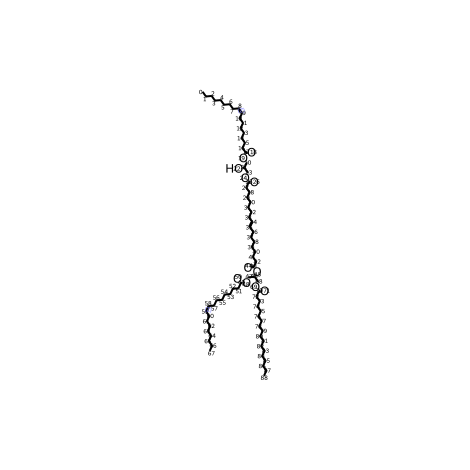 CCCCCCCC/C=C\CCCCCCCC(=O)OCC(O)COC(=O)CCCCCCCC=CCCCCCCCC(=O)OC(COC(=O)CCCCCCC/C=C\CCCCCCCC)COC(=O)CCCCCCCCCCCCCCCCC